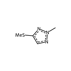 [CH2]Sc1cnn(C)n1